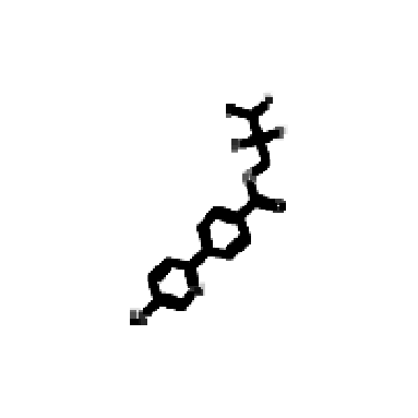 CCc1ccc(-c2ccc(C(=O)OCC(F)(F)C(F)F)cc2)nc1